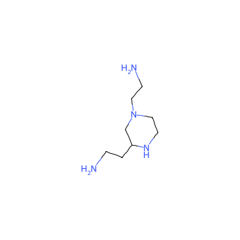 NCCC1CN(CCN)CCN1